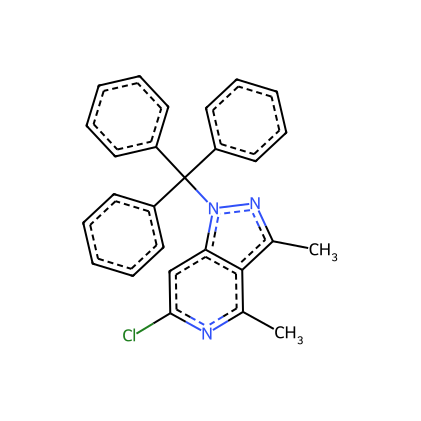 Cc1nc(Cl)cc2c1c(C)nn2C(c1ccccc1)(c1ccccc1)c1ccccc1